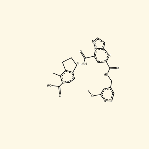 COc1cc(CNC(=O)c2cc(C(=O)N[C@H]3CCc4c3ccc(C(=O)O)c4C)n3nccc3n2)ccn1